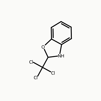 ClC(Cl)(Cl)C1Nc2ccccc2O1